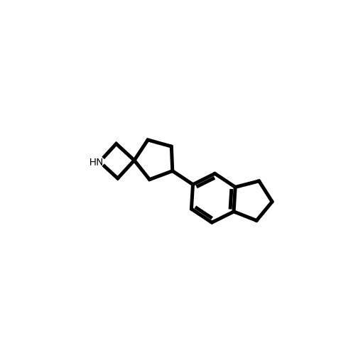 c1cc2c(cc1C1CCC3(CNC3)C1)CCC2